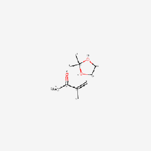 C=C(C)C(=O)OC.CC1(C)OCCO1